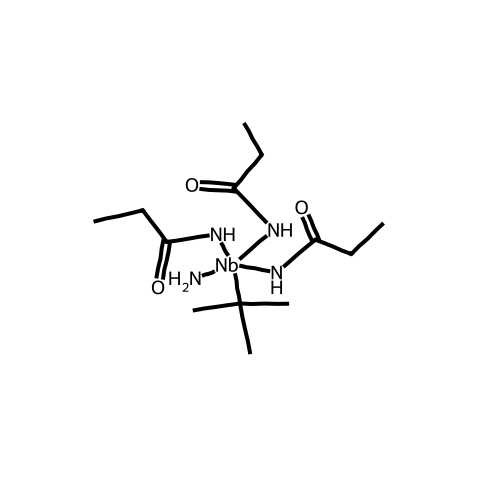 CCC(=O)[NH][Nb]([NH2])([NH]C(=O)CC)([NH]C(=O)CC)[C](C)(C)C